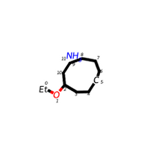 CCOC1CCCCCCCC1.N